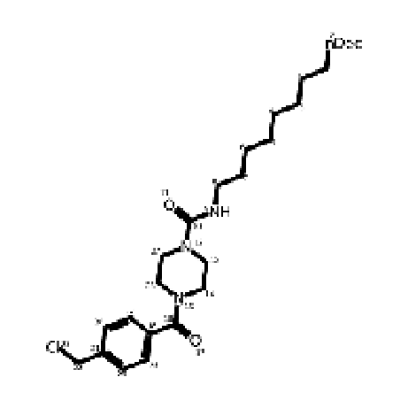 CCCCCCCCCCCCCCCCCCNC(=O)N1CCN(C(=O)c2ccc(CCl)cc2)CC1